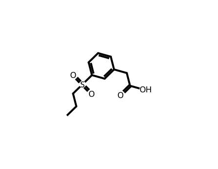 CCCS(=O)(=O)c1cccc(CC(=O)O)c1